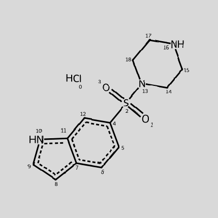 Cl.O=S(=O)(c1ccc2cc[nH]c2c1)N1CCNCC1